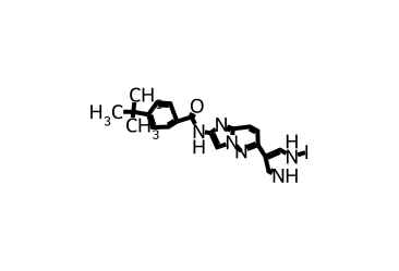 CC(C)(C)c1ccc(C(=O)Nc2cn3nc(/C(C=N)=C/NI)ccc3n2)cc1